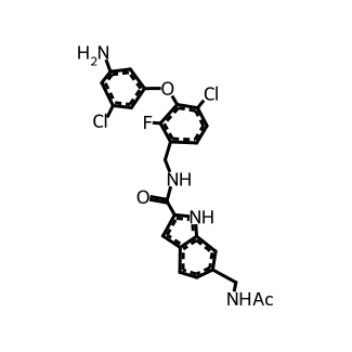 CC(=O)NCc1ccc2cc(C(=O)NCc3ccc(Cl)c(Oc4cc(N)cc(Cl)c4)c3F)[nH]c2c1